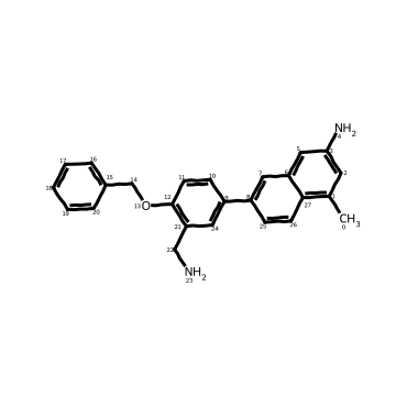 Cc1cc(N)cc2cc(-c3ccc(OCc4ccccc4)c(CN)c3)ccc12